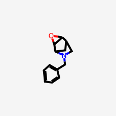 c1ccc(CN2CC3CC2C2OC32)cc1